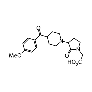 COc1ccc(C(=O)C2CCN(C3CCN(CC(=O)O)C3=O)CC2)cc1